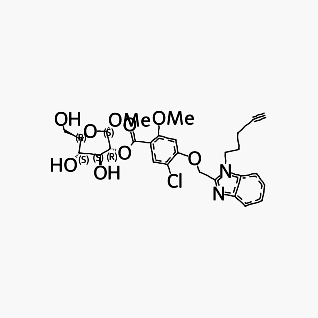 C#CCCCn1c(COc2cc(OC)c(C(=O)O[C@H]3[C@@H](OC)O[C@H](CO)[C@@H](O)[C@@H]3O)cc2Cl)nc2ccccc21